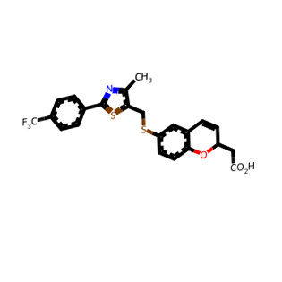 Cc1nc(-c2ccc(C(F)(F)F)cc2)sc1CSc1ccc2c(c1)C=CC(CC(=O)O)O2